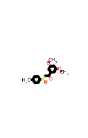 COc1cc(OC)cc(C(=O)C[S+]([O-])c2ccc(C)cc2)c1